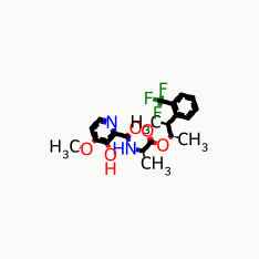 COc1ccnc(C(=O)N[C@@H](C)C(=O)O[C@@H](C)[C@@H](C)c2ccccc2C(F)(F)F)c1O